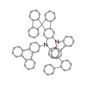 c1ccc(-c2ccccc2-c2ccc(N(c3ccc4c5ccccc5c5ccccc5c4c3)c3cc4c(cc3-n3c5ccccc5c5ccccc53)-c3ccccc3C43c4ccccc4-c4ccccc43)cc2)cc1